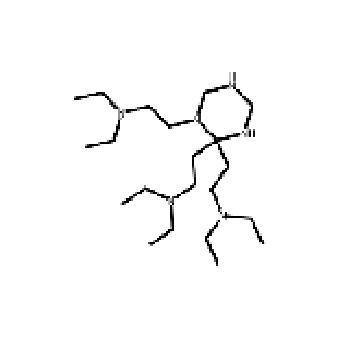 CCN(CC)CCN1CNCNC1(CCN(CC)CC)CCN(CC)CC